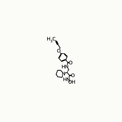 CC#CCOc1ccc(C(=O)NC[C@@H](C(=O)NO)N2CCCCC2)cc1